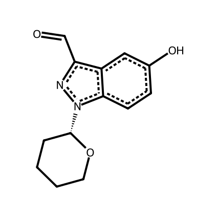 O=Cc1nn([C@H]2CCCCO2)c2ccc(O)cc12